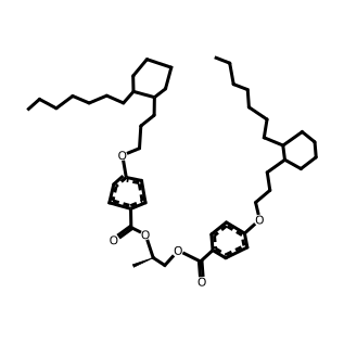 CCCCCCCC1CCCCC1CCCOc1ccc(C(=O)OC[C@@H](C)OC(=O)c2ccc(OCCCC3CCCCC3CCCCCCC)cc2)cc1